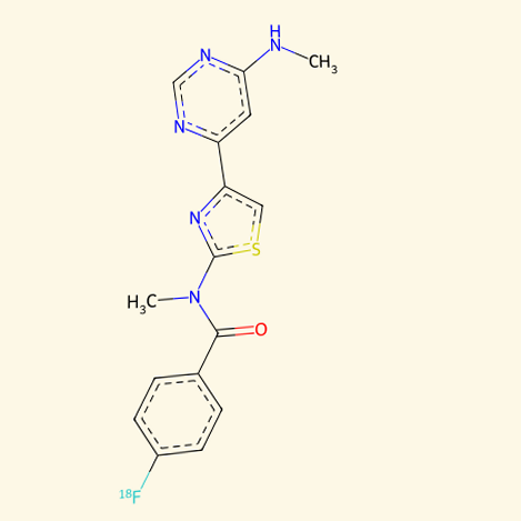 CNc1cc(-c2csc(N(C)C(=O)c3ccc([18F])cc3)n2)ncn1